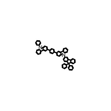 c1ccc(-n2c3ccccc3c3cc(-c4ccc(-c5ccc6c(c5)c5ccccc5n6-c5ccc6c(c5)-c5ccccc5C6(c5ccccc5)c5ccccc5)cc4)ccc32)cc1